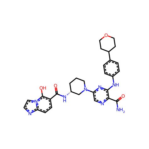 NC(=O)c1ncc(N2CCC[C@@H](NC(=O)c3ccc4nccn4c3O)C2)nc1Nc1ccc(C2CCOCC2)cc1